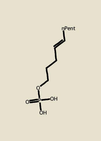 CCCCC/C=C/CCCOP(=O)(O)O